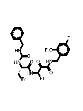 CCC(NC(=O)[C@H](CC(C)C)NC(=O)NCc1ccccc1)C(=O)C(=O)NCc1ccc(F)cc1C(F)(F)F